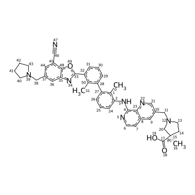 Cc1c(Nc2nccc3cc(CN4CC[C@@](C)(C(=O)O)C4)cnc23)cccc1-c1cccc(-c2nc3cc(CN4CCCC4)cc(C#N)c3o2)c1C